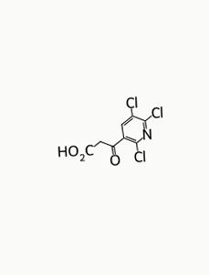 O=C(O)CC(=O)c1cc(Cl)c(Cl)nc1Cl